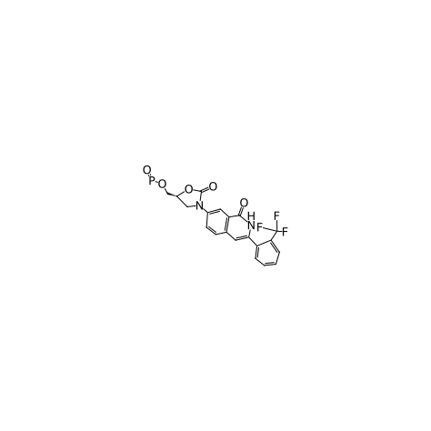 O=POC[C@@H]1CN(c2ccc3cc(-c4ccccc4C(F)(F)F)[nH]c(=O)c3c2)C(=O)O1